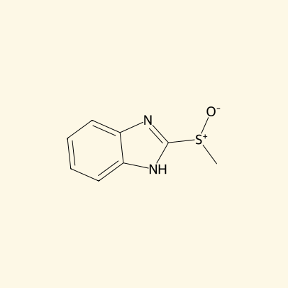 C[S+]([O-])c1nc2ccccc2[nH]1